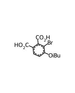 CC(C)COc1ccc(C(=O)O)c(C(=O)O)c1Br